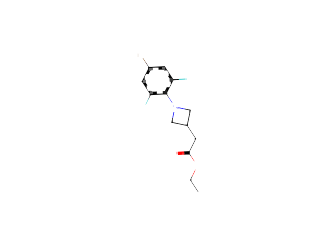 CCOC(=O)CC1CN(c2c(F)cc(Br)cc2F)C1